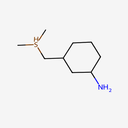 C[SH](C)CC1CCCC(N)C1